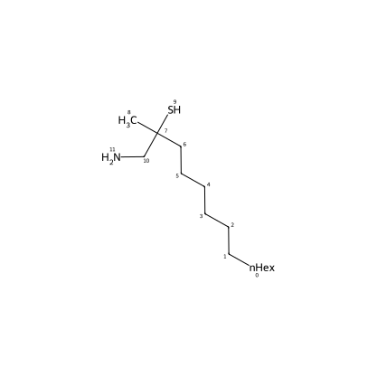 CCCCCCCCCCCCC(C)(S)CN